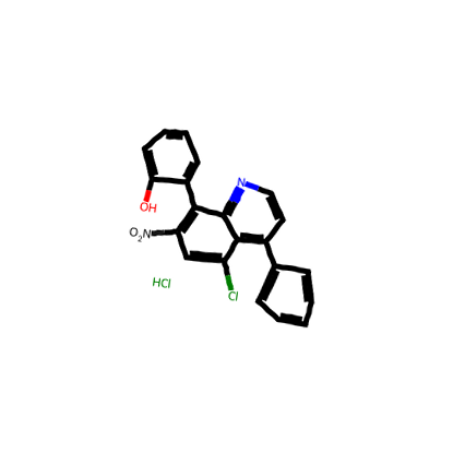 Cl.O=[N+]([O-])c1cc(Cl)c2c(-c3ccccc3)ccnc2c1-c1ccccc1O